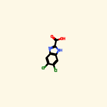 O=C(O)c1nc2cc(Cl)c(Cl)cc2[nH]1